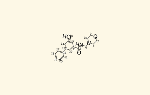 Cl.O=C(NCN1CCOCC1)c1cccc(-c2ccccc2)c1